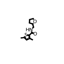 Cc1cc(C)c(C(=O)NCC2CCCO2)s1